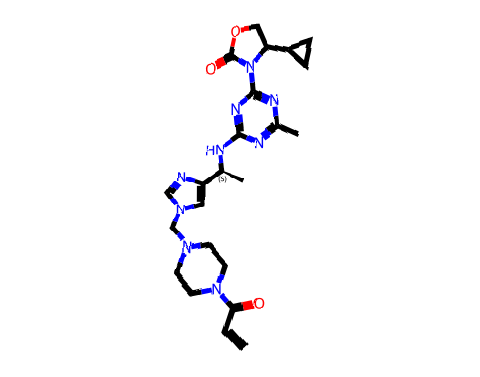 C=CC(=O)N1CCN(Cn2cnc([C@H](C)Nc3nc(C)nc(N4C(=O)OCC4C4CC4)n3)c2)CC1